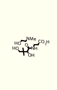 CC(C)(CO)C(O)C(=O)NCCC(=O)O.CNCCO